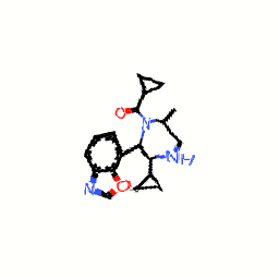 CC1CNC(C2[CH]C2)C(c2cccc3ncoc23)N1C(=O)C1CC1